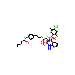 CCCCC(=O)Nc1ccc(CCNC(=O)C[C@@H]2C(=O)Nc3ccccc3N2S(=O)(=O)c2cc(C)c(Cl)cc2C)cc1